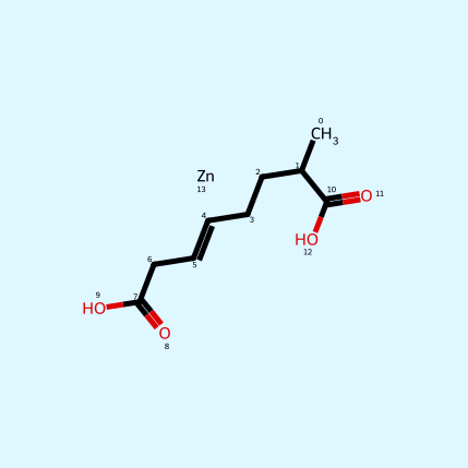 CC(CCC=CCC(=O)O)C(=O)O.[Zn]